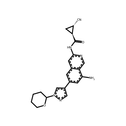 N#C[C@H]1C[C@@H]1C(=O)Nc1cc2cc(-c3cnn(C4CCCCO4)c3)cc(N)c2cn1